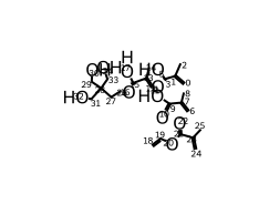 C=C(C)C(=O)O.C=C(C)C(=O)O.C=C(C)C(=O)O.C=COC(=O)C(=C)C.CCC(CO)(CO)CO